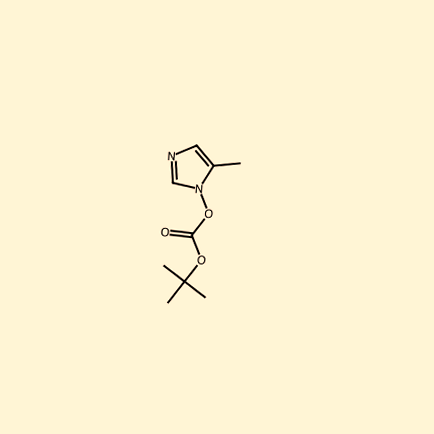 Cc1cncn1OC(=O)OC(C)(C)C